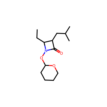 CCC1C(CC(C)C)C(=O)N1OC1CCCCO1